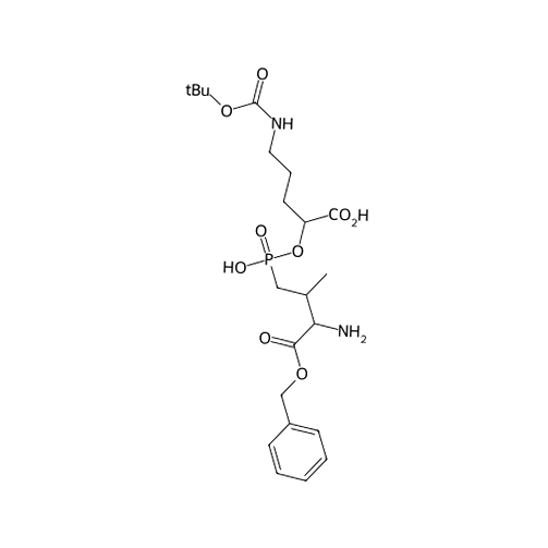 CC(CP(=O)(O)OC(CCCNC(=O)OC(C)(C)C)C(=O)O)C(N)C(=O)OCc1ccccc1